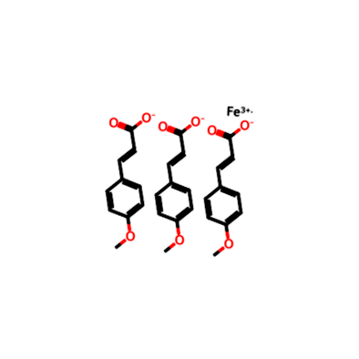 COc1ccc(C=CC(=O)[O-])cc1.COc1ccc(C=CC(=O)[O-])cc1.COc1ccc(C=CC(=O)[O-])cc1.[Fe+3]